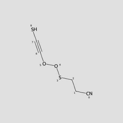 N#CCCSOOC#CS